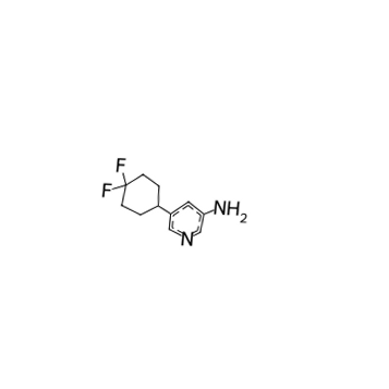 Nc1cncc(C2CCC(F)(F)CC2)c1